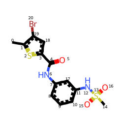 Cc1sc(C(=O)Nc2cccc(NS(C)(=O)=O)c2)cc1Br